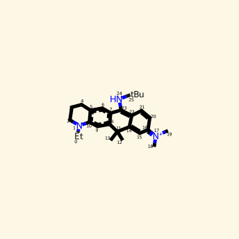 CCN1CCCc2cc3c(cc21)C(C)(C)C1=CC(=[N+](C)C)C=CC1=C3NC(C)(C)C